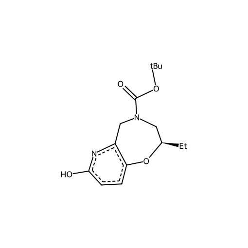 CC[C@@H]1CN(C(=O)OC(C)(C)C)Cc2nc(O)ccc2O1